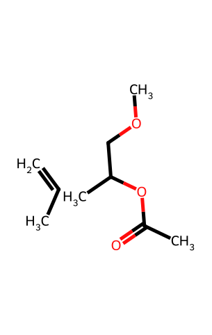 C=CC.COCC(C)OC(C)=O